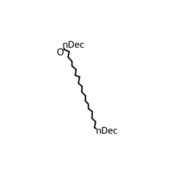 CCCCCCCCCCCCCCCCCCCCCCCCCCCCC(=O)CCCCCCCCCC